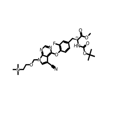 COC(=O)[C@H](Cc1ccc(Oc2ncnc3c2c(C#N)cn3COCC[Si](C)(C)C)c(F)c1)NC(=O)OC(C)(C)C